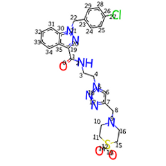 O=C(NCCn1cc(CN2CCS(=O)(=O)CC2)nn1)c1nn(Cc2ccc(Cl)cc2)c2ccccc12